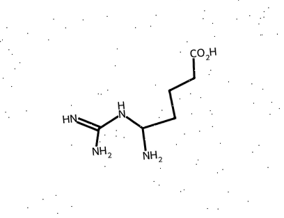 N=C(N)NC(N)CCCC(=O)O